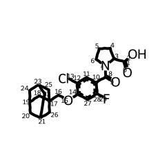 O=C(O)C1CCCN1C(=O)c1cc(Cl)c(OCC23CC4CC(CC(C4)C2)C3)cc1F